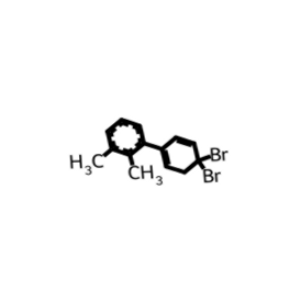 Cc1cccc(C2=CCC(Br)(Br)C=C2)c1C